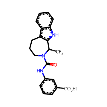 CCOC(=O)c1cccc(NC(=O)N2CCCc3c([nH]c4ccccc34)C2C(F)(F)F)c1